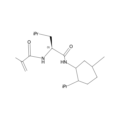 C=C(C)C(=O)N[C@@H](CC(C)C)C(=O)NC1CC(C)CCC1C(C)C